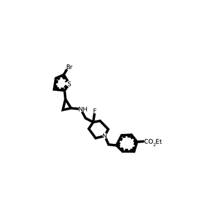 CCOC(=O)c1ccc(CN2CCC(F)(CNC3CC3c3ccc(Br)s3)CC2)cc1